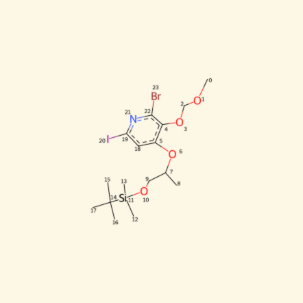 COCOc1c(OC(C)CO[Si](C)(C)C(C)(C)C)cc(I)nc1Br